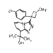 CC(C)(O)c1cccn2c1nnc2[C@]1(c2ccc(Cl)cc2)C[C@H](O)C1